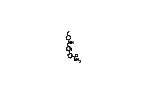 CCC1CCC(NCc2ccc(-c3cccc(C(N)=O)c3)nc2)CC1